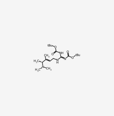 C/C(=C\CN/C(=N/C(=O)OC(C)(C)C)NC(=O)OC(C)(C)C)[C@H](C)N(C)C